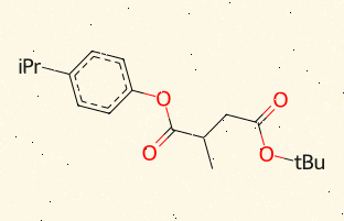 CC(CC(=O)OC(C)(C)C)C(=O)Oc1ccc(C(C)C)cc1